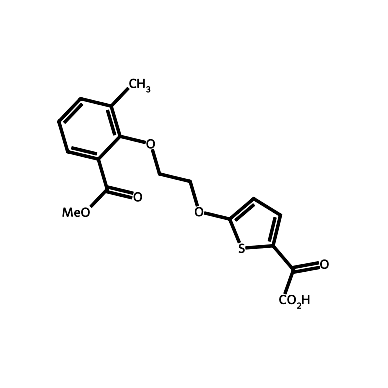 COC(=O)c1cccc(C)c1OCCOc1ccc(C(=O)C(=O)O)s1